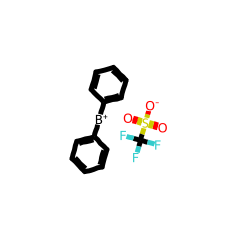 O=S(=O)([O-])C(F)(F)F.[B+](c1ccccc1)c1ccccc1